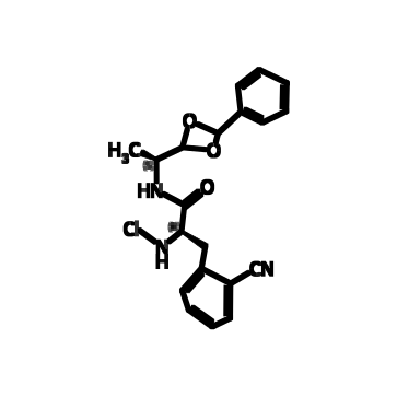 C[C@H](NC(=O)[C@@H](Cc1ccccc1C#N)NCl)C1OC(c2ccccc2)O1